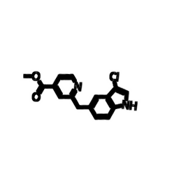 COC(=O)c1ccnc(Cc2ccc3[nH]cc(Cl)c3c2)c1